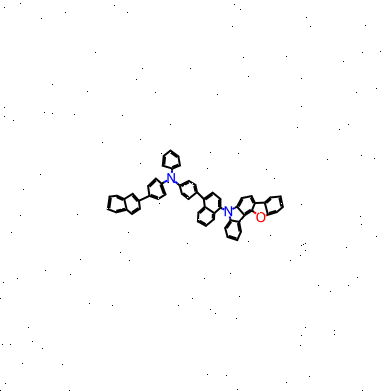 c1ccc(N(c2ccc(-c3ccc4ccccc4c3)cc2)c2ccc(-c3ccc(-n4c5ccccc5c5c6oc7ccccc7c6ccc54)c4ccccc34)cc2)cc1